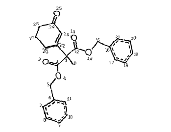 CC(C(=O)OCc1ccccc1)(C(=O)OCc1ccccc1)C1=CC(=O)CCC1